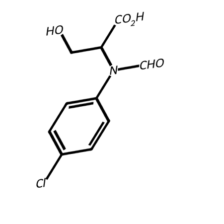 O=CN(c1ccc(Cl)cc1)C(CO)C(=O)O